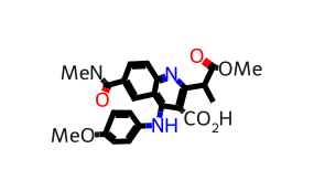 CNC(=O)c1ccc2nc(C(C)C(=O)OC)c(C(=O)O)c(Nc3ccc(OC)cc3)c2c1